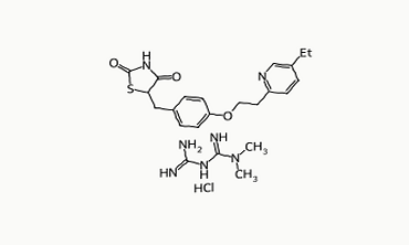 CCc1ccc(CCOc2ccc(CC3SC(=O)NC3=O)cc2)nc1.CN(C)C(=N)NC(=N)N.Cl